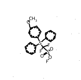 COc1ccc(S(c2ccccc2)(c2ccccc2)C(F)(F)S(=O)(=O)OF)cc1